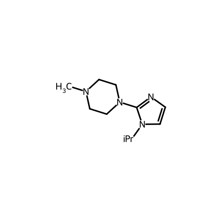 CC(C)n1ccnc1N1CCN(C)CC1